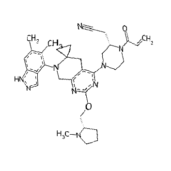 C=CC(=O)N1CCN(c2nc(OC[C@@H]3CCCN3C)nc3c2CC2(CC2)N(c2c(C)c(C)cc4[nH]ncc24)C3)C[C@@H]1CC#N